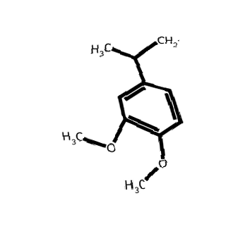 [CH2]C(C)c1ccc(OC)c(OC)c1